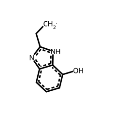 [CH2]Cc1nc2cccc(O)c2[nH]1